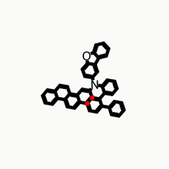 c1ccc(-c2ccccc2-c2ccccc2N(c2ccc3ccc4c5ccccc5ccc4c3c2)c2ccc3oc4ccccc4c3c2)cc1